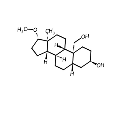 CO[C@H]1CC[C@H]2[C@@H]3CC[C@H]4C[C@H](O)CC[C@]4(CO)[C@H]3CC[C@]12C